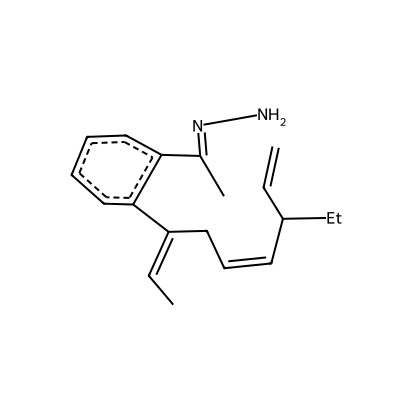 C=CC(/C=C\C/C(=C\C)c1ccccc1/C(C)=N/N)CC